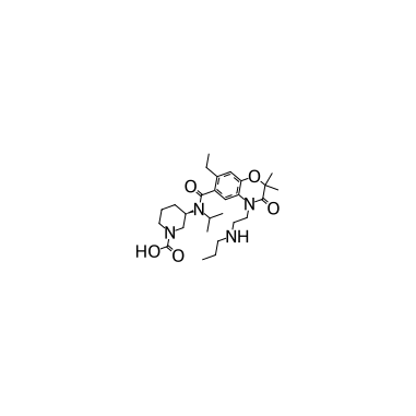 CCCNCCN1C(=O)C(C)(C)Oc2cc(CC)c(C(=O)N(C(C)C)[C@@H]3CCCN(C(=O)O)C3)cc21